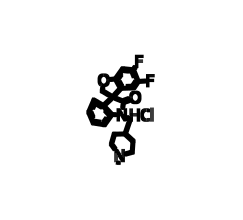 CN1CCC(CN2C(=O)C3(COc4cc(F)c(F)cc43)c3ccccc32)CC1.Cl